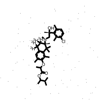 [2H]C1([2H])c2cc(C)c(OC(C)C(=O)OC(C)C(C)C)c(C)c2C(C)(C)[C@@](C)(N(C)C[C@](C)(O)c2c(C)ccc(Cl)c2C)C1([2H])[2H]